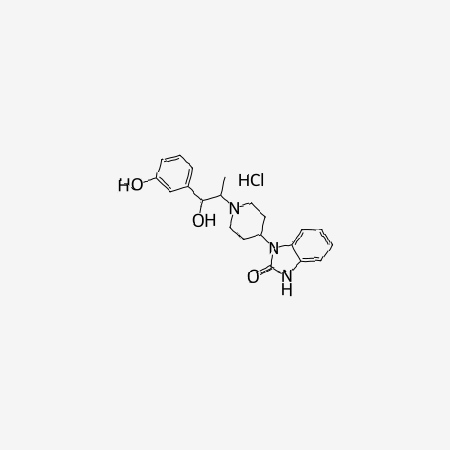 CC(C(O)c1cccc(O)c1)N1CCC(n2c(=O)[nH]c3ccccc32)CC1.Cl